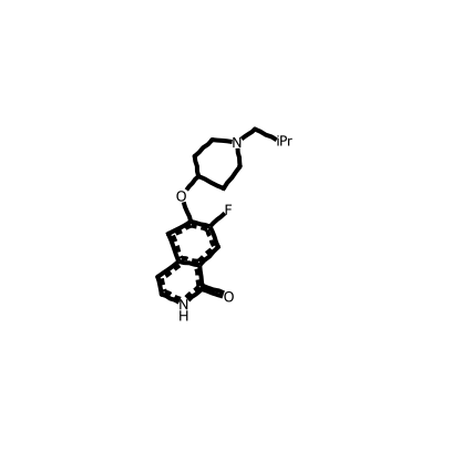 CC(C)CN1CCC(Oc2cc3cc[nH]c(=O)c3cc2F)CC1